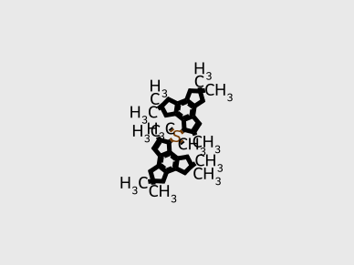 CC1=Cc2c3c(c4c(c2C1S(C)(C)C1C(C)=Cc2c5c(c6c(c21)CC(C)(C)C6)CC(C)(C)C5)CC(C)(C)C4)CC(C)(C)C3